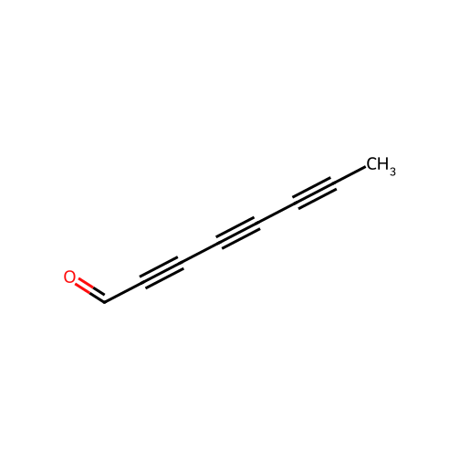 CC#CC#CC#CC=O